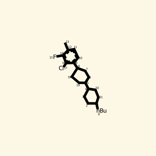 CCCCC1CCC(C2CCC(c3ccc(C)c(F)c3Cl)CC2)CC1